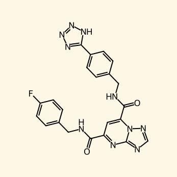 O=C(NCc1ccc(F)cc1)c1cc(C(=O)NCc2ccc(-c3nnn[nH]3)cc2)n2ncnc2n1